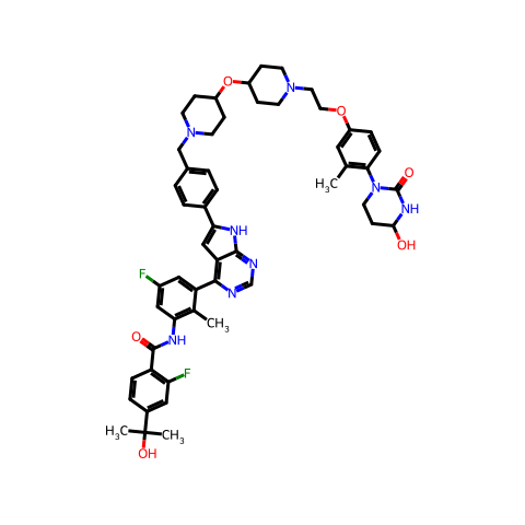 Cc1cc(OCCN2CCC(OC3CCN(Cc4ccc(-c5cc6c(-c7cc(F)cc(NC(=O)c8ccc(C(C)(C)O)cc8F)c7C)ncnc6[nH]5)cc4)CC3)CC2)ccc1N1CCC(O)NC1=O